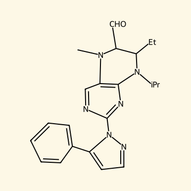 CCC1C(C=O)N(C)c2cnc(-n3nccc3-c3ccccc3)nc2N1C(C)C